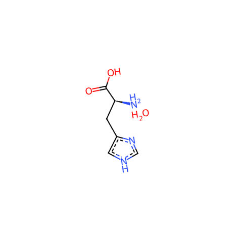 N[C@@H](Cc1c[nH]cn1)C(=O)O.O